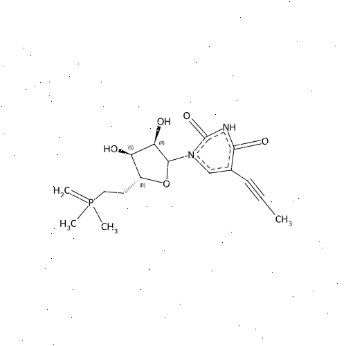 C=P(C)(C)CC[C@H]1OC(n2cc(C#CC)c(=O)[nH]c2=O)[C@H](O)[C@@H]1O